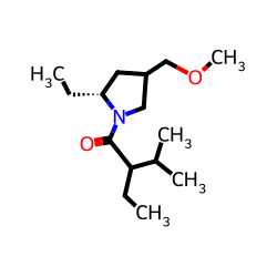 CCC(C(=O)N1CC(COC)C[C@H]1CC)C(C)C